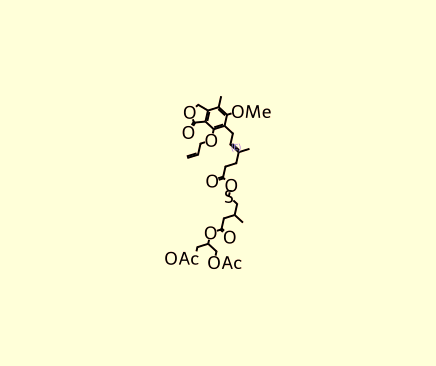 C=CCOc1c(C/C=C(\C)CCC(=O)OSCC(C)CC(=O)OC(COC(C)=O)COC(C)=O)c(OC)c(C)c2c1C(=O)OC2